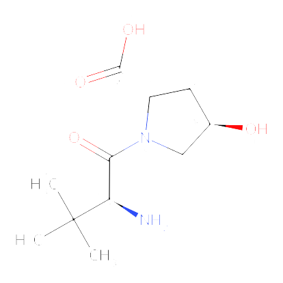 CC(C)(C)[C@H](N)C(=O)N1C[C@H](O)C[C@H]1C(=O)O